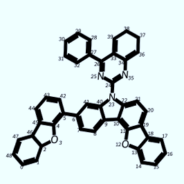 C1=CC2Oc3c(-c4ccc5c6c7oc8ccccc8c7ccc6n(-c6nc(-c7ccccc7)c7c(n6)=CCCC=7)c5c4)cccc3C2C=C1